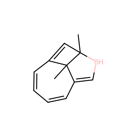 CC12BC=C3C=CC=CC(=C1)C32C